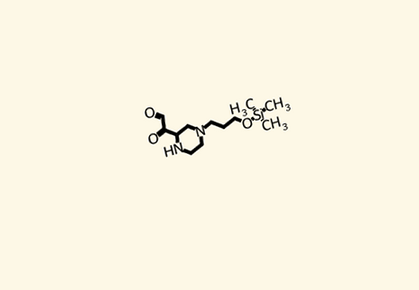 C[Si](C)(C)OCCCN1CCNC(C(=O)C=O)C1